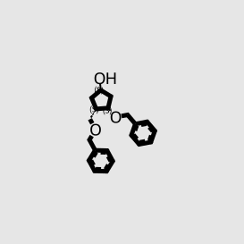 O[C@H]1C[C@@H](COCc2ccccc2)[C@@H](OCc2ccccc2)C1